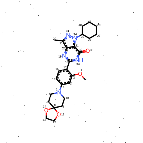 COc1cc(N2CCC3(CC2)OCCO3)ccc1-c1nc2c(C)nn(C3CCCCC3)c2c(=O)[nH]1